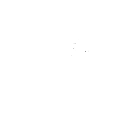 CC[C@@H](C)[C@@H](NCc1c(O)ccc2c(-c3ccccc3)cc(=O)oc12)C(=O)O